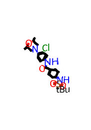 CC1CN(c2ccc(NC(=O)C3CCC(NS(=O)(=O)C(C)(C)C)CC3)cc2Cl)CC(C)O1